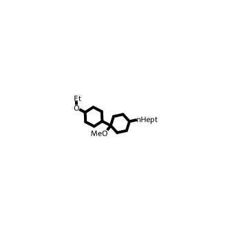 CCCCCCCC1CCC(OC)(C2CCC(OCC)CC2)CC1